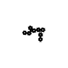 C1=CCCC(c2cccc(-n3c4c(c5ccccc53)CC(c3ccc5c6c(n(-c7ccc(C8C=CCCC8)cc7)c5c3)CCC=C6)C=C4)c2)=C1